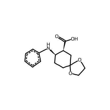 O=C(O)[C@H]1CC2(CC[C@H]1Nc1ccccc1)OCCO2